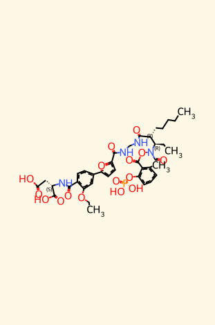 CCCCC[C@@H](C(=O)NCNC(=O)c1ccc(-c2ccc(C(=O)N[C@@H](CC(=O)O)C(=O)O)c(OCC)c2)o1)[C@@H](CC)N(C=O)OC(=O)c1c(C)cccc1OP(=O)(O)O